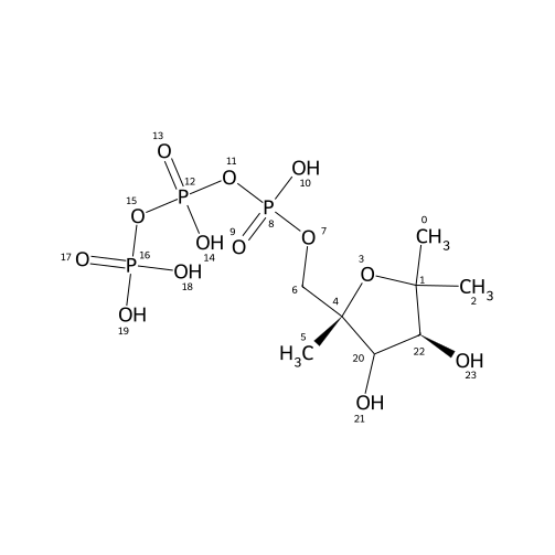 CC1(C)O[C@@](C)(COP(=O)(O)OP(=O)(O)OP(=O)(O)O)C(O)[C@@H]1O